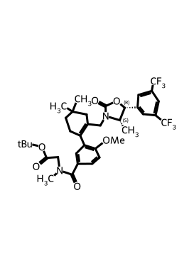 COc1ccc(C(=O)N(C)CC(=O)OC(C)(C)C)cc1C1=C(CN2C(=O)O[C@H](c3cc(C(F)(F)F)cc(C(F)(F)F)c3)[C@@H]2C)CC(C)(C)CC1